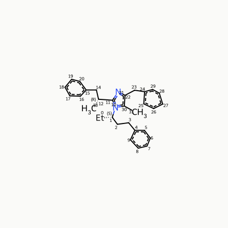 CC[C@@H](CCc1ccccc1)n1c([C@H](C)Cc2ccccc2)nc(Cc2ccccc2)c1C